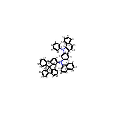 c1ccc(-n2c3cc(N(c4ccc5c(c4)C(c4ccccc4)(c4ccccc4)c4ccccc4-5)c4cccc5ccccc45)ccc3c3ccc4ccccc4c32)cc1